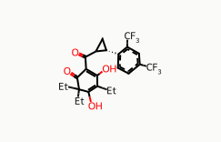 CCC1=C(O)C(CC)(CC)C(=O)C(C(=O)C2C[C@@H]2c2ccc(C(F)(F)F)cc2C(F)(F)F)=C1O